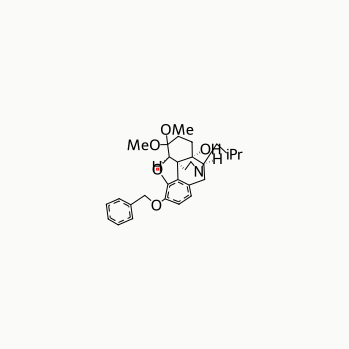 COC1(OC)CC[C@@]2(O)[C@H]3Cc4ccc(OCc5ccccc5)c5c4[C@@]2(CCN3CC(C)C)[C@H]1O5